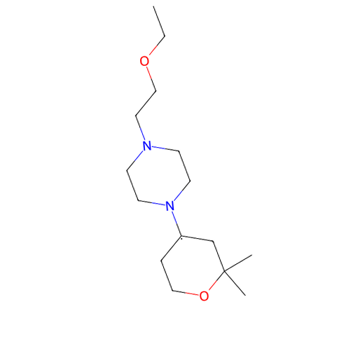 CCOCCN1CCN([C]2CCOC(C)(C)C2)CC1